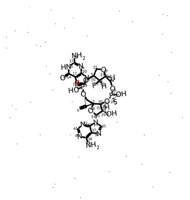 C#C[C@@]12COP(O)(=S)O[C@@]3(n4cnc5c(=O)[nH]c(N)nc54)CO[C@H](COP(O)(=S)O[C@H]1[C@@H](O)[C@H](n1cnc4c(N)ncnc41)O2)[C@@H]3F